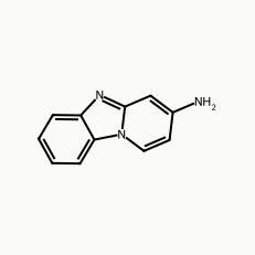 Nc1ccn2c(c1)nc1ccccc12